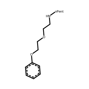 CCCCCNCCOCCOc1ccccc1